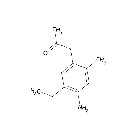 CCc1cc(CC(C)=O)c(C)cc1N